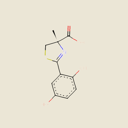 C[C@]1(C(=O)O)CSC(c2cc(O)ccc2O)=N1